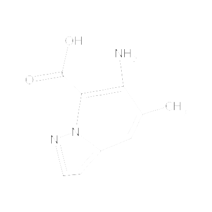 Cc1cc2ccnn2c(C(=O)O)c1N